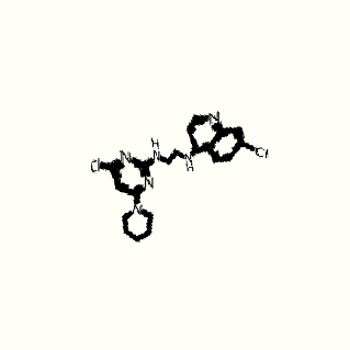 Clc1ccc2c(NCCNc3nc(Cl)cc(N4CCCCC4)n3)ccnc2c1